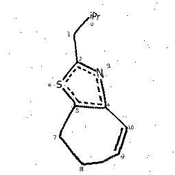 CC(C)Cc1nc2c(s1)CCC=C2